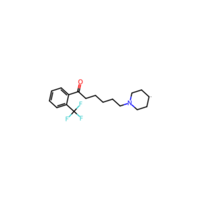 O=C(CCCCCN1CC[CH]CC1)c1ccccc1C(F)(F)F